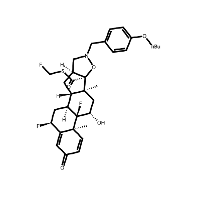 CCCCOc1ccc(CN2C[C@@H]3C[C@H]4[C@@H]5C[C@H](F)C6=CC(=O)C=C[C@]6(C)[C@@]5(F)[C@@H](O)C[C@]4(C)[C@]3(C(=O)SCF)O2)cc1